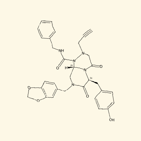 C#CCN1CC(=O)N2[C@@H](Cc3ccc(O)cc3)C(=O)N(Cc3ccc4c(c3)OCO4)C[C@@H]2N1C(=O)NCc1ccccc1